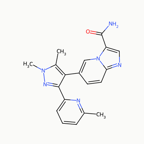 Cc1cccc(-c2nn(C)c(C)c2-c2ccc3ncc(C(N)=O)n3c2)n1